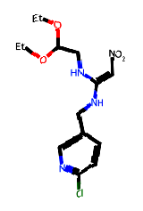 CCOC(CNC(=C[N+](=O)[O-])NCc1ccc(Cl)nc1)OCC